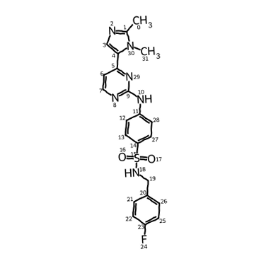 Cc1ncc(-c2ccnc(Nc3ccc(S(=O)(=O)NCc4ccc(F)cc4)cc3)n2)n1C